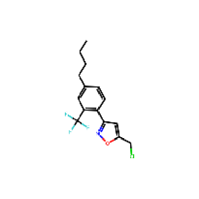 CCCCc1ccc(-c2cc(CCl)on2)c(C(F)(F)F)c1